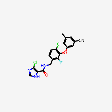 Cc1cc(C#N)cc(Oc2c(Cl)ccc(CNC(=O)c3[nH]cnc3Cl)c2F)c1